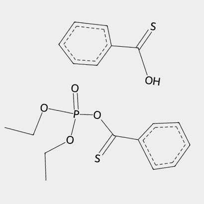 CCOP(=O)(OCC)OC(=S)c1ccccc1.OC(=S)c1ccccc1